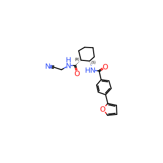 N#CCNC(=O)[C@@H]1CCCC[C@@H]1NC(=O)c1ccc(-c2ccco2)cc1